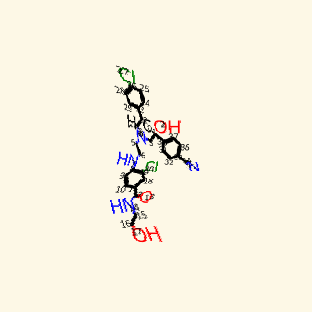 C[C@@](O)(CN(CCNc1ccc(C(=O)NCCO)cc1Cl)CCc1ccc(Cl)cc1)c1ccc(C#N)cc1